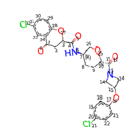 O=C1CC(C(=O)N[C@@H]2CC[C@@H](C(=O)N3CC(Oc4ccc(Cl)cc4)C3)OC2)Oc2ccc(Cl)cc21